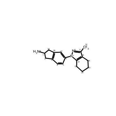 NC1Cc2ccc(-n3nc(C(F)(F)F)c4c3CCCC4)cc2C1